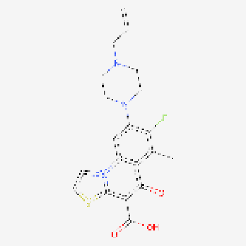 C=CCN1CCN(c2cc3c(c(C)c2F)c(=O)c(C(=O)O)c2sccn23)CC1